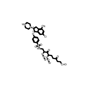 N#Cc1cc(Cl)cc2c1C[C@H](N1CCNCC1)[C@H]2Oc1ccc(S(=O)(=O)NCC(N=[N+]=[N-])C(=O)C(CCC(=O)CCC=O)N=[N+]=[N-])cc1